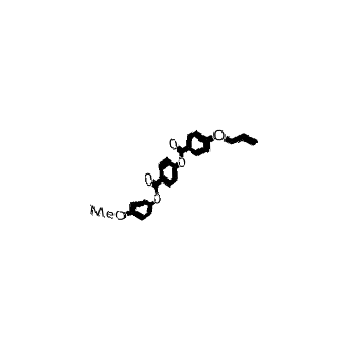 C=CCOc1ccc(C(=O)Oc2ccc(C(=O)Oc3ccc(OC)cc3)cc2)cc1